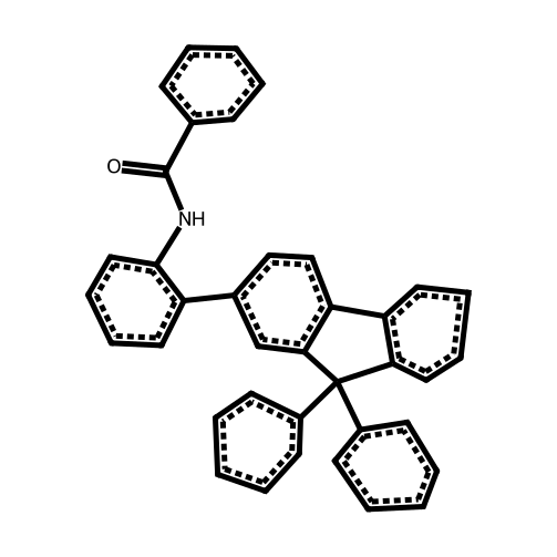 O=C(Nc1ccccc1-c1ccc2c(c1)C(c1ccccc1)(c1ccccc1)c1ccccc1-2)c1ccccc1